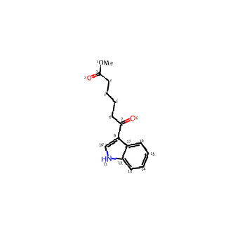 COC(=O)CCCCC(=O)c1c[nH]c2ccccc12